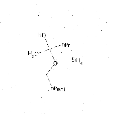 CCCCCCOC(C)(O)CCC.[SiH4]